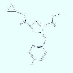 CNC(=O)c1cc(C(=O)NC2CC2)nn1Cc1ccc(C)cc1